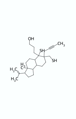 C=C(C)C1CCC2C3CCC(CS)(CC#CC)C(S)(CCCO)C3CCC12C